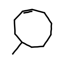 CC1CCC=CCCCCC1